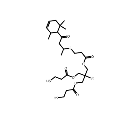 CCC(COC(=O)CCS)(COC(=O)CCS)COC(=O)CCSC(C)CC(=O)C1C(C)C=CCC1(C)C